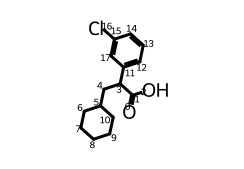 O=C(O)C(CC1CCCCC1)c1cccc(Cl)c1